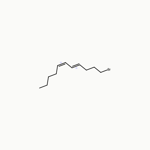 CCCC/C=C\C=C\CCCBr